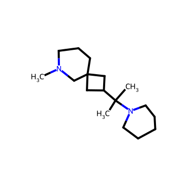 CN1CCCC2(CC(C(C)(C)N3CCCCC3)C2)C1